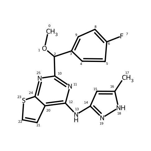 COC(c1ccc(F)cc1)c1nc(Nc2cc(C)[nH]n2)c2ccsc2n1